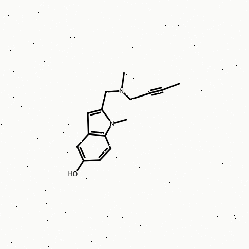 CC#CCN(C)Cc1cc2cc(O)ccc2n1C